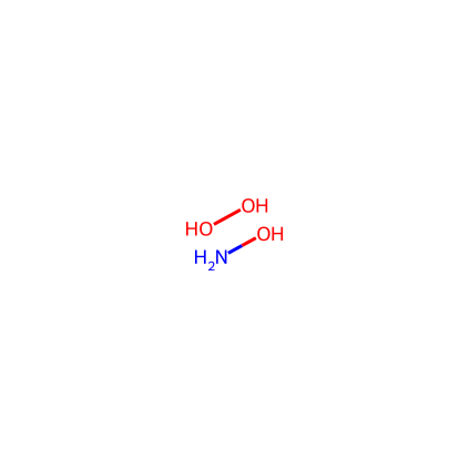 NO.OO